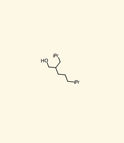 CC(C)CCCC(CO)CC(C)C